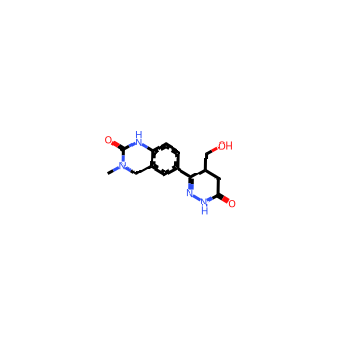 CN1Cc2cc(C3=NNC(=O)CC3CO)ccc2NC1=O